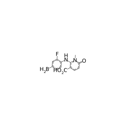 Bc1ccc(Nc2c(C(=O)O)ccc(=O)n2C)c(F)c1